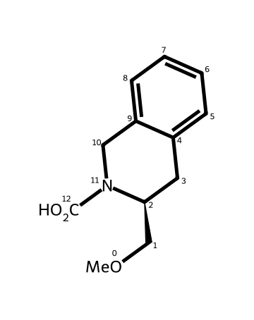 COC[C@@H]1Cc2ccccc2CN1C(=O)O